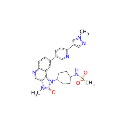 Cn1cc(-c2ccc(-c3ccc4ncc5c(c4c3)n(C3CCC(NS(C)(=O)=O)CC3)c(=O)n5C)cn2)cn1